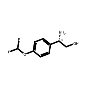 N[C@H](CO)c1ccc(OC(F)F)cc1